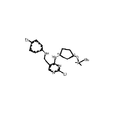 CCc1ccc(NCc2cnc(Cl)nc2N[C@@H]2CC[C@@H](O[Si](C)(C)C(C)(C)C)C2)cc1